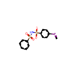 C=Pc1ccc(S(=O)(=O)NS(=O)(=O)c2ccccc2)cc1